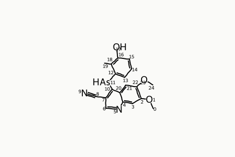 COc1cc2ncc(C#N)c([AsH]c3cccc(O)c3C)c2cc1OC